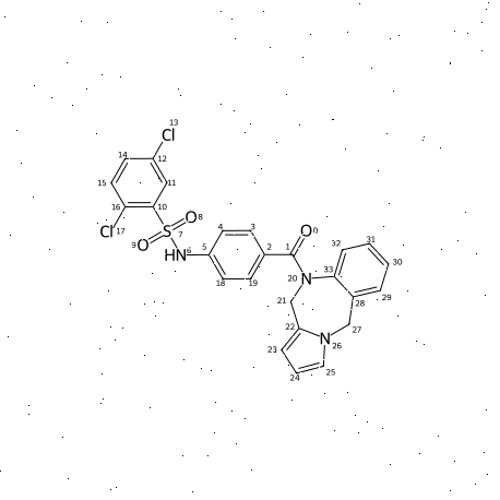 O=C(c1ccc(NS(=O)(=O)c2cc(Cl)ccc2Cl)cc1)N1Cc2cccn2Cc2ccccc21